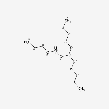 CCCCOC(OCCCC)O[SiH2]OCCC